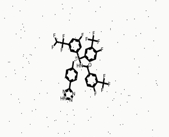 O=C(N[C@@](Cc1ccc(-c2nn[nH]n2)cc1)(c1cc(F)cc(C(F)(F)C(F)F)c1)c1ccc(F)c(C(F)(F)F)c1)c1ccc(F)c(C(F)(F)F)c1